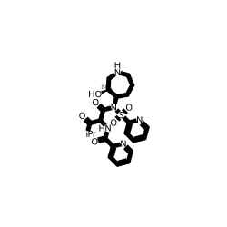 CC(C)C(=O)C(NC(=O)c1ccccn1)C(=O)N(C1CCCNC[C@@H]1O)S(=O)(=O)c1ccccn1